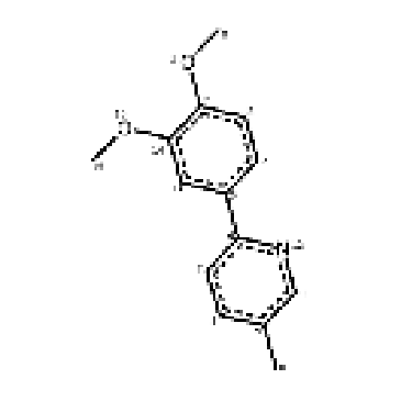 COc1ccc(-c2ccc(C)cn2)cc1OC